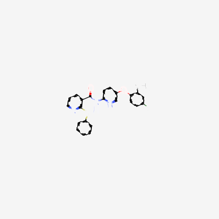 Cc1cc(Cl)ccc1Oc1ccc(NC(=O)c2cccnc2Sc2ccccc2)nc1